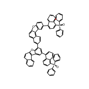 O=P(c1ccccc1)(c1ccccc1)c1ccc(-c2ccc3oc4ccc5cc(-c6cc(-c7cccc8c(P(=O)(c9ccccc9)c9ccccc9)cccc78)cc7c6oc6ccc8ccccc8c67)ccc5c4c3c2)c2ccccc12